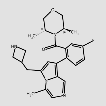 Cc1cncc2c(-c3ccc(F)cc3C(=O)N3[C@H](C)COC[C@H]3C)cc(CC3CNC3)n12